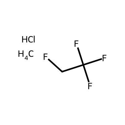 C.Cl.FCC(F)(F)F